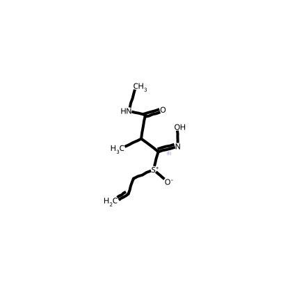 C=CC[S+]([O-])/C(=N/O)C(C)C(=O)NC